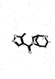 Cc1oncc1C(=O)N1CC2CC1CCN2